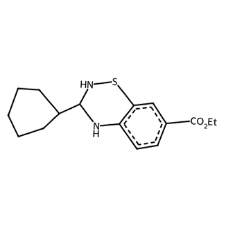 CCOC(=O)c1ccc2c(c1)SNC(C1CCCCC1)N2